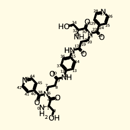 N[C@@H](CO)C(=O)N(CCC(=O)Nc1ccc(NC(=O)CCN(C(=O)c2ccncc2)C(=O)[C@@H](N)CO)cc1)C(=O)c1ccncc1